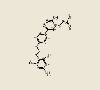 Nc1nc(N)c(CCCc2ccc(C(=O)N[C@@H](CCC(=O)O)C(=O)O)cc2)c(O)n1